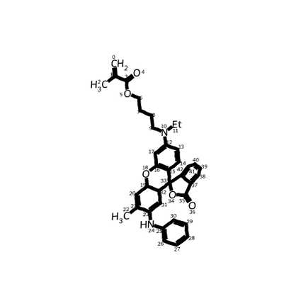 C=C(C)C(=O)OCCCCN(CC)c1ccc2c(c1)OC1C=C(C)C(Nc3ccccc3)=CC1C21OC(=O)c2ccccc21